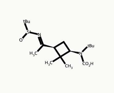 C/C(=N\[S+]([O-])C(C)(C)C)[C@H]1C[C@@H](N(C(=O)O)C(C)(C)C)C1(C)C